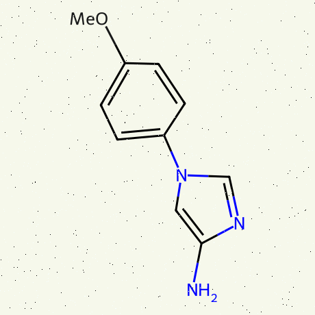 COc1ccc(-n2cnc(N)c2)cc1